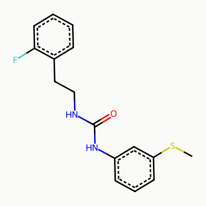 CSc1cccc(NC(=O)NCCc2ccccc2F)c1